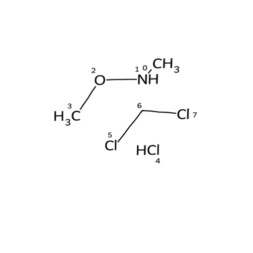 CNOC.Cl.ClCCl